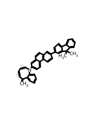 C=C1/C=C\C=C/N(c2ccc3c(ccc4cc(-c5ccc6c(c5)C(C)(C)c5ccccc5-6)ccc43)c2)c2ccccc21